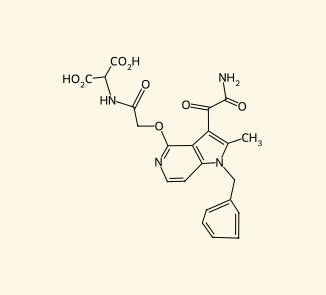 Cc1c(C(=O)C(N)=O)c2c(OCC(=O)NC(C(=O)O)C(=O)O)nccc2n1Cc1ccccc1